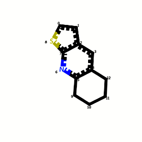 c1cc2cc3c(nc2s1)CCCC3